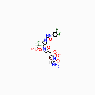 N[C@@H]1C(=O)N2C(C(=O)[O-])=C(/C=C3\CCN(Cc4cc[n+](CC(=O)Nc5ccc(F)c(F)c5)cc4)C3=O)CS[C@H]12.O=C(O)C(F)(F)F